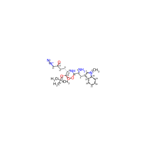 Cn1cc(C[C@H](N)C(=O)N[C@@H](CCC(=O)C=[N+]=[N-])C(=O)OC(C)(C)C)c2ccccc21